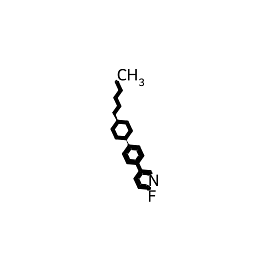 CCCCCC[C@H]1CC[C@H](c2ccc(-c3ccc(F)nc3)cc2)CC1